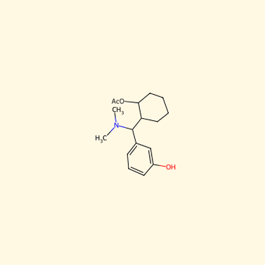 CC(=O)OC1CCCCC1C(c1cccc(O)c1)N(C)C